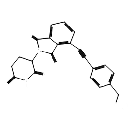 O=C(O)Cc1ccc(C#Cc2cccc3c2C(=O)N(C2CCC(=O)NC2=O)C3=O)cc1